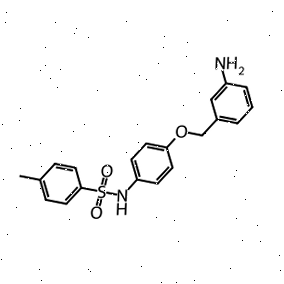 Cc1ccc(S(=O)(=O)Nc2ccc(OCc3cccc(N)c3)cc2)cc1